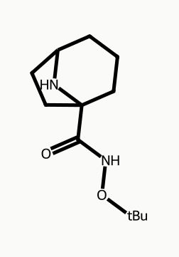 CC(C)(C)ONC(=O)C12CCCC(CC1)N2